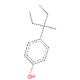 CCC(C)(CC)c1ccc(O)cc1